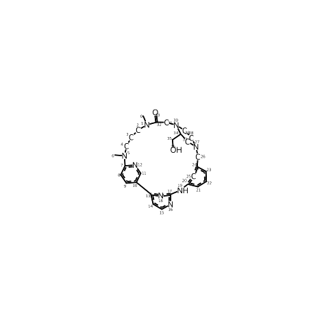 CN1CCCN(C)c2ccc(cn2)-c2ccnc(n2)Nc2cccc(c2)CN2CCN(CC1=O)C(CO)C2